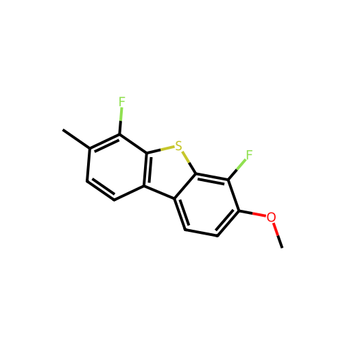 COc1ccc2c(sc3c(F)c(C)ccc32)c1F